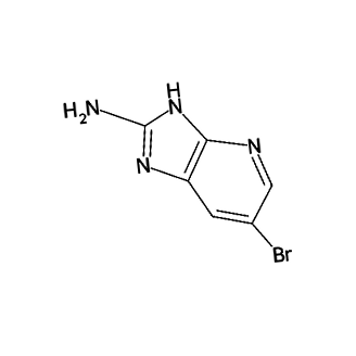 Nc1nc2cc(Br)cnc2[nH]1